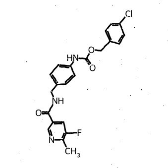 Cc1ncc(C(=O)NCc2ccc(NC(=O)OCc3ccc(Cl)cc3)cc2)cc1F